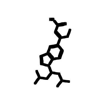 CCC(=CC(=O)O)c1ccc2c(ccn2C(CC(C)C)CC(C)C)c1